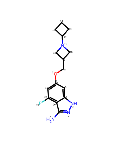 Nc1n[nH]c2cc(OCC3CN(C4CCC4)C3)cc(F)c12